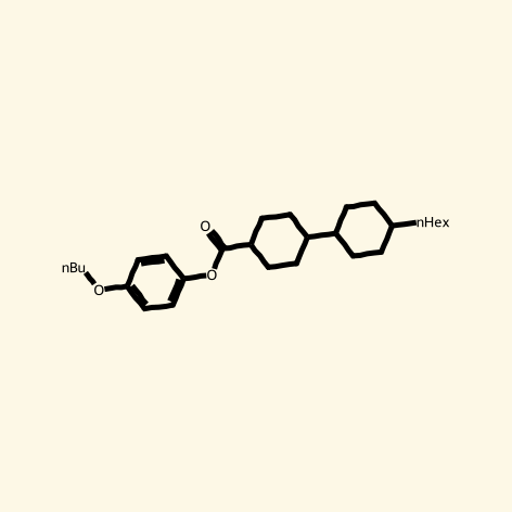 CCCCCCC1CCC(C2CCC(C(=O)Oc3ccc(OCCCC)cc3)CC2)CC1